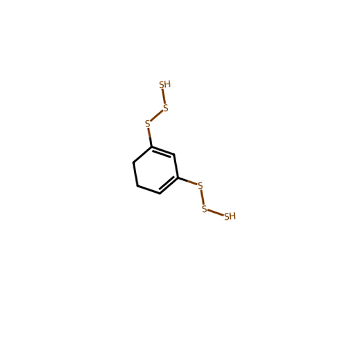 SSSC1=CCCC(SSS)=C1